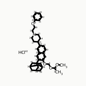 COC(C)OCOc1cc2ccc(C3CCN(CCOc4ccccc4)CC3)cc2cc1C12CC3CC(CC(C3)C1)C2.Cl